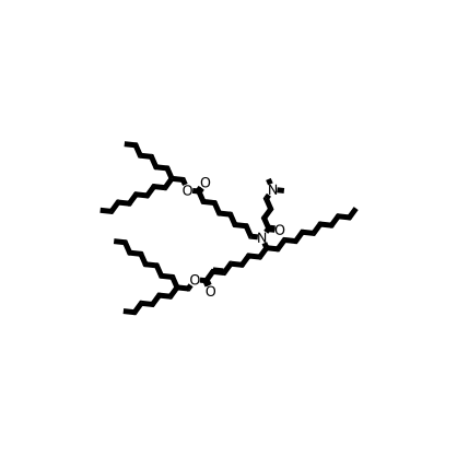 CCCCCCCCCCC(CCCCC=CC(=O)OCC(CCCCCC)CCCCCCCC)N(CCCCCCCC(=O)OCC(CCCCCC)CCCCCCCC)C(=O)CCCN(C)C